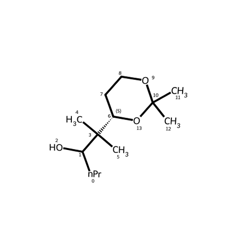 CCCC(O)C(C)(C)[C@@H]1CCOC(C)(C)O1